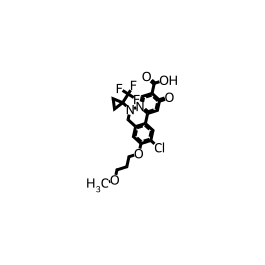 COCCCOc1cc2c(cc1Cl)-c1cc(=O)c(C(=O)O)cn1N(C1(C(F)(F)F)CC1)C2